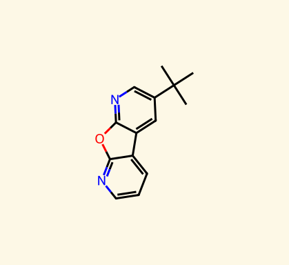 CC(C)(C)c1cnc2oc3ncccc3c2c1